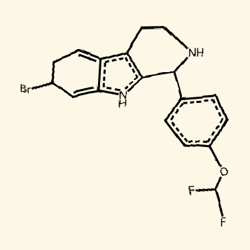 FC(F)Oc1ccc(C2NCCc3c2[nH]c2c3=CCC(Br)C=2)cc1